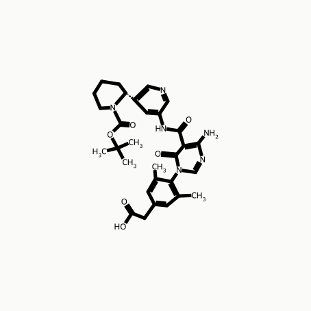 Cc1cc(CC(=O)O)cc(C)c1-n1cnc(N)c(C(=O)Nc2cncc([C@H]3CCCCN3C(=O)OC(C)(C)C)c2)c1=O